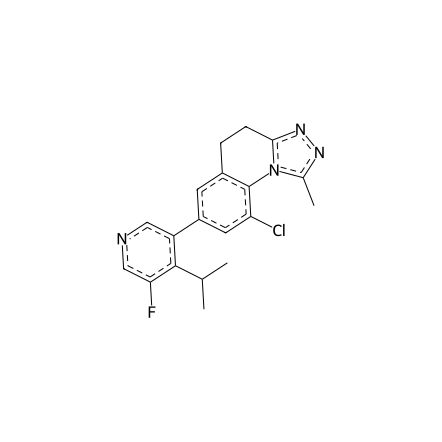 Cc1nnc2n1-c1c(Cl)cc(-c3cncc(F)c3C(C)C)cc1CC2